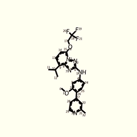 COc1cc(Nc2nc3c(C(C)C)ccc(OCC(F)(F)F)n3n2)ccc1-c1ccnc(C)c1